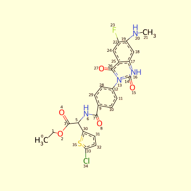 CCOC(=O)C(NC(=O)c1ccc(-n2c(=O)[nH]c3cc(NC)c(F)cc3c2=O)cc1)c1ccc(Cl)s1